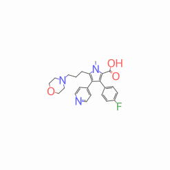 Cn1c(CCCN2CCOCC2)c(-c2ccncc2)c(-c2ccc(F)cc2)c1C(=O)O